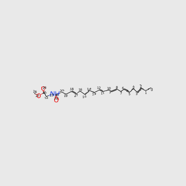 CCC=CCC=CCC=CCC=CCC=CCC=CCCC(=O)NCC(=O)OC